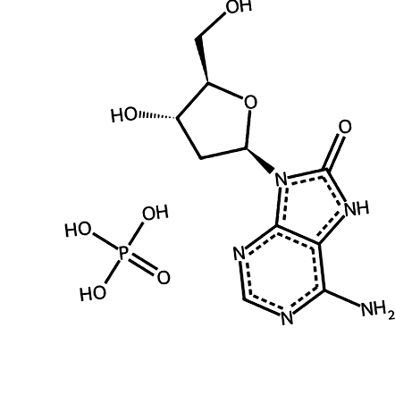 Nc1ncnc2c1[nH]c(=O)n2[C@H]1C[C@H](O)[C@@H](CO)O1.O=P(O)(O)O